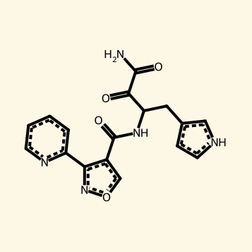 NC(=O)C(=O)C(Cc1cc[nH]c1)NC(=O)c1conc1-c1ccccn1